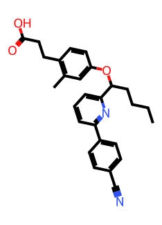 CCCCC(Oc1ccc(CCC(=O)O)c(C)c1)c1cccc(-c2ccc(C#N)cc2)n1